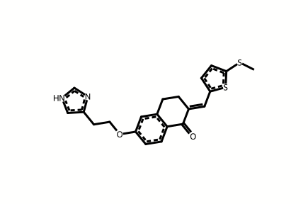 CSc1ccc(/C=C2\CCc3cc(OCCc4c[nH]cn4)ccc3C2=O)s1